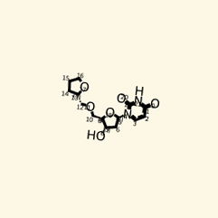 O=c1ccn([C@H]2C[C@H](O)[C@@H](COC[C@@H]3CCCO3)O2)c(=O)[nH]1